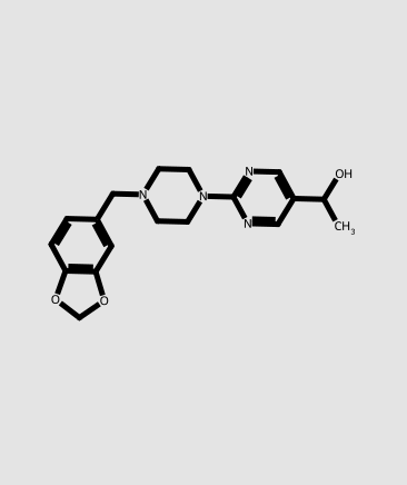 CC(O)c1cnc(N2CCN(Cc3ccc4c(c3)OCO4)CC2)nc1